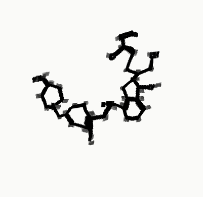 CNC(=O)CCC(CO)N1Cc2c(NCc3ccc(CN4CCC(C(C)(C)C)CC4)cc3F)cccc2C1=O